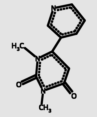 Cn1c(-c2cccnc2)cc(=O)n(C)c1=O